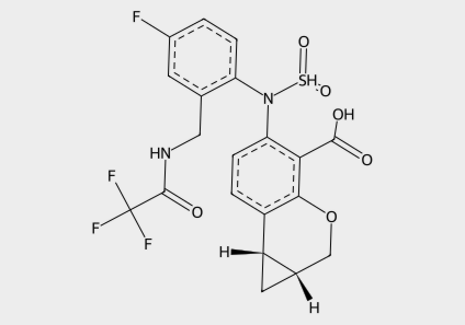 O=C(O)c1c(N(c2ccc(F)cc2CNC(=O)C(F)(F)F)[SH](=O)=O)ccc2c1OC[C@@H]1C[C@H]21